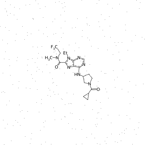 CCn1c(C(=O)N(C)CC(F)(F)F)nc2c(NC3CCN(C(=O)C4CC4)C3)ncnc21